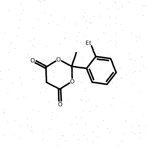 CCc1ccccc1C1(C)OC(=O)CC(=O)O1